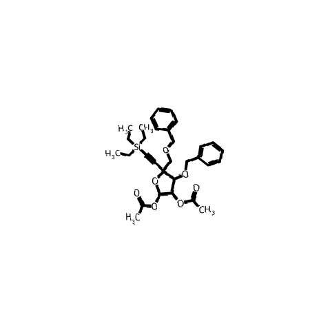 CC[Si](C#CC1(COCc2ccccc2)OC(OC(C)=O)C(OC(C)=O)C1OCc1ccccc1)(CC)CC